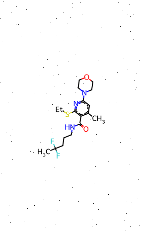 CCSc1nc(N2CCOCC2)cc(C)c1C(=O)NCCCC(C)(F)F